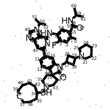 Cc1cc(F)c(Nc2nc(-c3ccc4c(c3)N(C3CC(N5CCCCC5)C3)C(=O)C43CCN(BC4CCCCCCCC4)CC3)cc3ncn(C(C)C)c23)cc1C(=O)NC(C)C